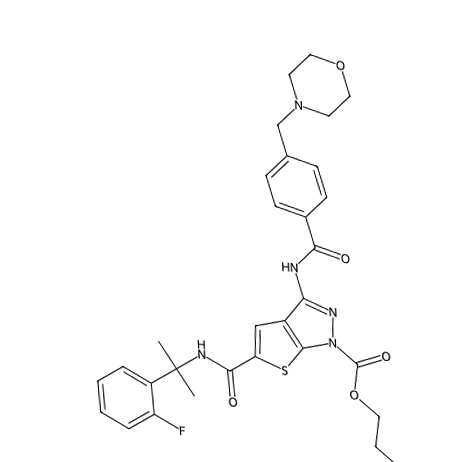 CC(C)(NC(=O)c1cc2c(NC(=O)c3ccc(CN4CCOCC4)cc3)nn(C(=O)OCCF)c2s1)c1ccccc1F